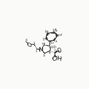 COCCN1C[C@@H](C(=O)O)[C@](C)(c2ccccc2)C1